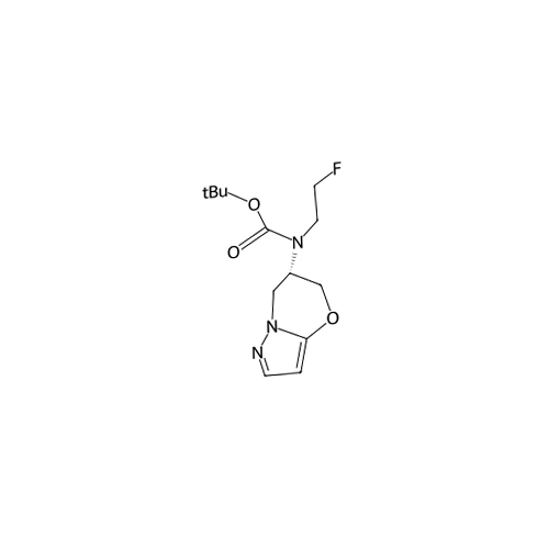 CC(C)(C)OC(=O)N(CCF)[C@@H]1COc2ccnn2C1